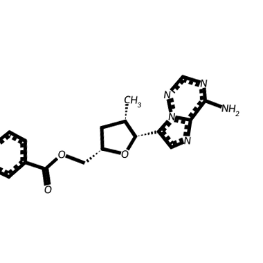 C[C@H]1C[C@@H](COC(=O)c2ccccc2)O[C@H]1c1cnc2c(N)ncnn12